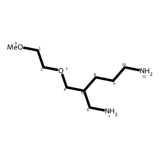 COCCOCC(CN)CCCN